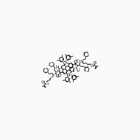 C=C(C)C(=O)OCCCCN(CCC1CCCCC1)C(=O)C(CCC1CCCCC1)N1C(=O)c2cc(Oc3cc(C)cc(C)c3)c3c4c(Oc5cc(C)cc(C)c5)cc5c6c(cc(Oc7cc(C)cc(C)c7)c(c7c(Oc8cc(C)cc(C)c8)cc(c2c37)C1=O)c64)C(=O)N(C(CCC1CCCCC1)C(=O)N(CCCCOC(=O)C(=C)C)CCC1CCCCC1)C5=O